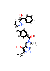 Cc1[nH]nc(CN(C)C(=O)c2ccc(C[C@@H]3CC[C@H]([C@H](O)c4ccccc4)N3)cc2)c1O